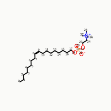 CCCCCCCC/C=C\CCCCCCCCOP(=O)([O-])OCC[N+](C)(C)C